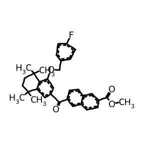 COC(=O)c1ccc2cc(C(=O)c3cc(OCc4ccc(F)cc4)c4c(c3)C(C)(C)CCC4(C)C)ccc2c1